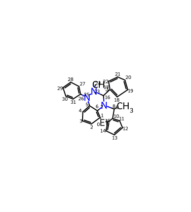 CCc1cccc2c1N(C(C)c1ccccc1)C(c1ccccc1)N(C)N2c1ccccc1